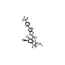 C[C@H](Oc1ccc(C#N)c(Cl)c1C(=O)N1Cc2cn(-c3ccc(C(F)(F)F)cn3)nc2C1)C(F)(F)F